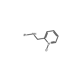 CC(C)NCc1cccc[n+]1[O-]